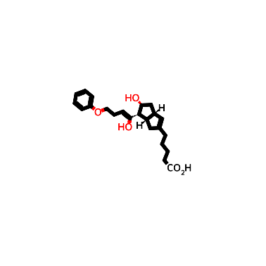 O=C(O)CCCCC1=C[C@@H]2C[C@H](O)[C@@H](C(O)=CCCOc3ccccc3)[C@@H]2C1